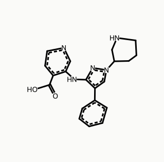 O=C(O)c1ccncc1Nc1nn(C2CCCNC2)cc1-c1ccccc1